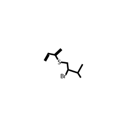 C=CC(=C)SCC(Br)C(C)C